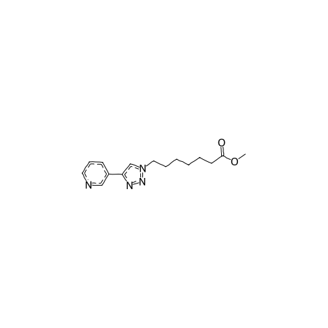 COC(=O)CCCCCCn1cc(-c2cccnc2)nn1